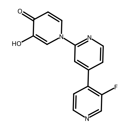 O=c1ccn(-c2cc(-c3ccncc3F)ccn2)cc1O